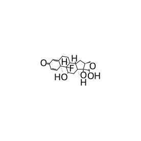 C[C@@H]1C[C@H]2[C@@H]3CCC4=CC(=O)C=C[C@]4(C)C3(F)[C@@H](O)C[C@]2(C)[C@@]1(O)C(=O)O